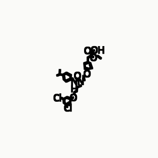 CCOC(Cc1ccc(OCCN(CCCCOc2cc(Cl)cc(Cl)c2)C(=O)Nc2ccc(C(C)C)cc2)cc1)C(=O)O